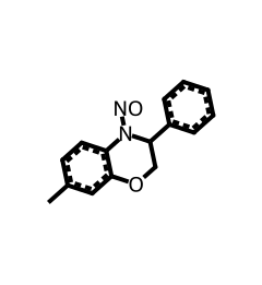 Cc1ccc2c(c1)OCC(c1ccccc1)N2N=O